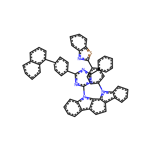 c1ccc(-c2nc(-c3ccc(-c4cccc5ccccc45)cc3)nc(-n3c4ccccc4c4ccc5c6ccccc6n(-c6ccc(-c7nc8ccccc8s7)cc6)c5c43)n2)cc1